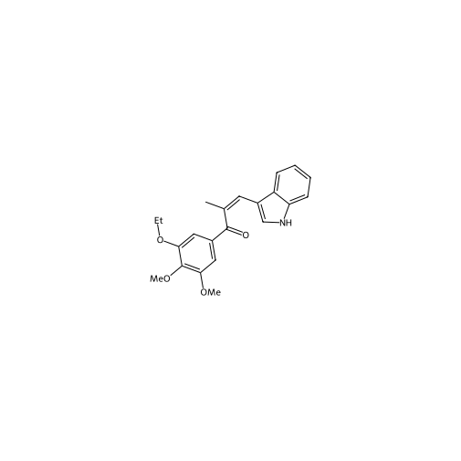 CCOc1cc(C(=O)C(C)=Cc2c[nH]c3ccccc23)cc(OC)c1OC